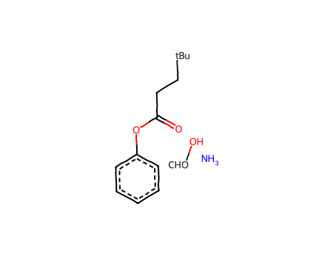 CC(C)(C)CCC(=O)Oc1ccccc1.N.O=CO